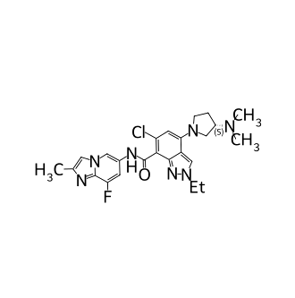 CCn1cc2c(N3CC[C@H](N(C)C)C3)cc(Cl)c(C(=O)Nc3cc(F)c4nc(C)cn4c3)c2n1